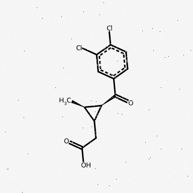 C[C@@H]1C(CC(=O)O)[C@@H]1C(=O)c1ccc(Cl)c(Cl)c1